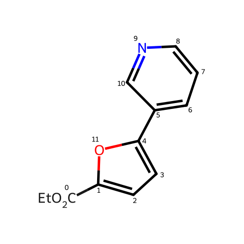 CCOC(=O)c1ccc(-c2cccnc2)o1